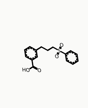 O=C(O)c1cccc(CCCS(=O)(=O)c2ccccc2)c1